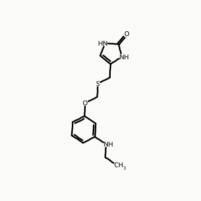 CCNc1cccc(OCSCc2c[nH]c(=O)[nH]2)c1